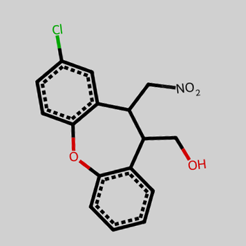 O=[N+]([O-])CC1c2cc(Cl)ccc2Oc2ccccc2C1CO